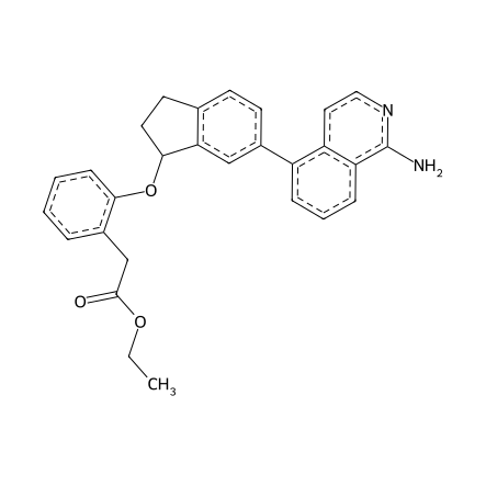 CCOC(=O)Cc1ccccc1OC1CCc2ccc(-c3cccc4c(N)nccc34)cc21